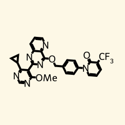 COc1ncnc(C2CC2)c1-c1nc(OCc2ccc(-n3cccc(C(F)(F)F)c3=O)cc2)c2ncccc2n1